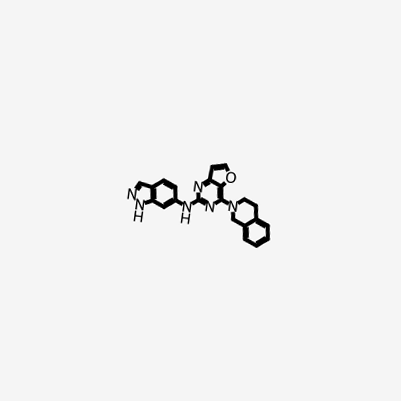 c1ccc2c(c1)CCN(c1nc(Nc3ccc4cn[nH]c4c3)nc3ccoc13)C2